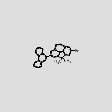 CC1(C)c2cc(Br)cc3ccc4cc(-c5cc6ccccc6c6ccccc56)cc1c4c23